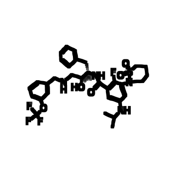 CC(C)Nc1cc(C(=O)N[C@@H](Cc2ccccc2)[C@H](O)CNCc2cccc(OC(F)(F)F)c2)c(F)c(N2CCCCS2(=O)=O)c1